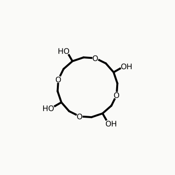 OC1COCC(O)COCC(O)COCC(O)COC1